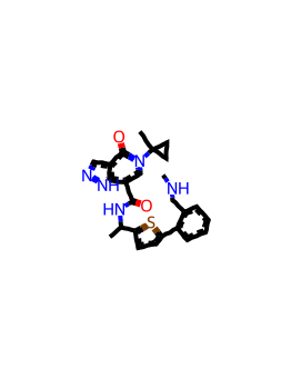 CNCc1ccccc1-c1ccc(C(C)NC(=O)c2cn(C3(C)CC3)c(=O)c3cn[nH]c23)s1